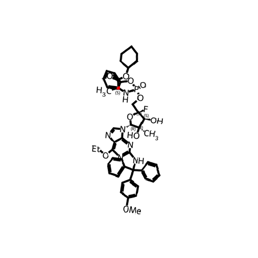 CCOc1nc(NC(c2ccccc2)(c2ccccc2)c2ccc(OC)cc2)nc2c1ncn2[C@@H]1O[C@](F)(COP(=O)(N[C@@H](C)C(=O)OC2CCCCC2)Oc2ccccc2)[C@@H](O)[C@@]1(C)O